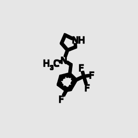 CN(Cc1ccc(F)cc1C(F)(F)F)C1CCNC1